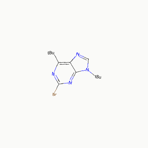 CC(C)(C)c1nc(Br)nc2c1ncn2C(C)(C)C